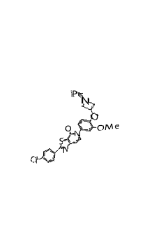 COc1cc(-n2ccc3nc(-c4ccc(Cl)cc4)sc3c2=O)ccc1OC1CN(C(C)C)C1